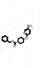 Nc1ccc(O[C@H]2CC[C@H](C(=O)OCc3ccccc3)CC2)nc1